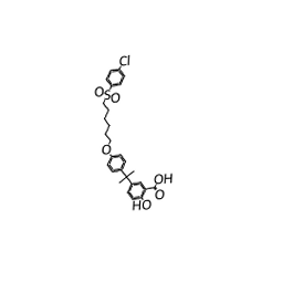 CC(C)(c1ccc(OCCCCCCS(=O)(=O)c2ccc(Cl)cc2)cc1)c1ccc(O)c(C(=O)O)c1